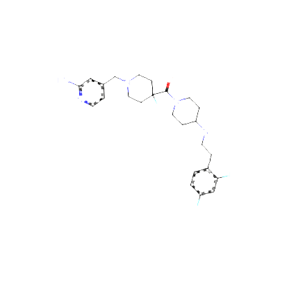 Nc1cc(CN2CCC(F)(C(=O)N3CCC(NCCc4ccc(F)cc4F)CC3)CC2)ccn1